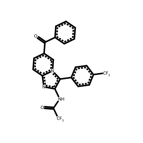 O=C(c1ccccc1)c1ccc2nc(NC(=O)C(F)(F)F)c(-c3ccc(C(F)(F)F)cc3)n2c1